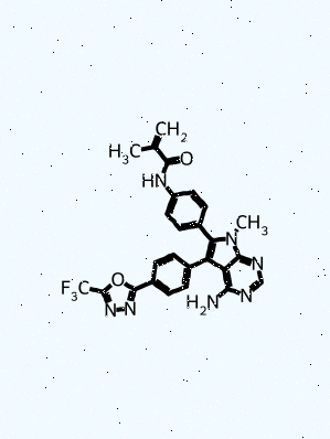 C=C(C)C(=O)Nc1ccc(-c2c(-c3ccc(-c4nnc(C(F)(F)F)o4)cc3)c3c(N)ncnc3n2C)cc1